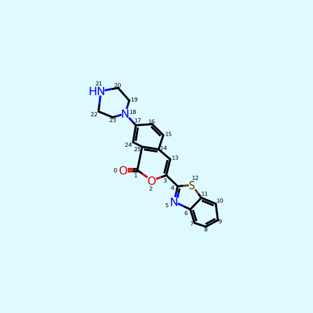 O=c1oc(-c2nc3ccccc3s2)cc2ccc(N3CCNCC3)cc12